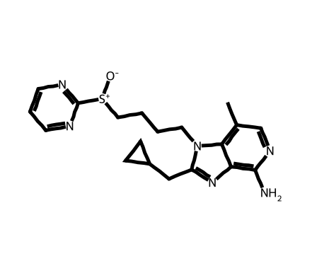 Cc1cnc(N)c2nc(CC3CC3)n(CCCC[S+]([O-])c3ncccn3)c12